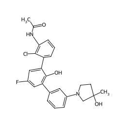 CC(=O)Nc1cccc(-c2cc(F)cc(-c3cccc(N4CCC(C)(O)C4)c3)c2O)c1Cl